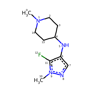 CN1CCC(Nc2cnn(C)c2F)CC1